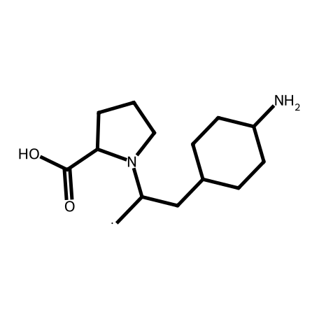 [CH2]C(CC1CCC(N)CC1)N1CCCC1C(=O)O